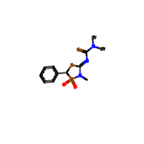 CC(C)N(C(=S)/N=C1\SC(c2ccccc2)S(=O)(=O)N1C)C(C)C